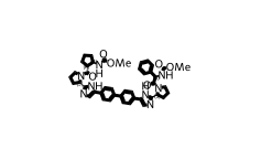 COC(=O)N[C@@H](C(=O)N1CCC[C@H]1c1ncc(-c2ccc(-c3ccc(-c4cnc([C@@H]5CCCN5C(=O)[C@@H]5CCC[C@H]5NC(=O)OC)[nH]4)cc3)cc2)[nH]1)c1ccccc1